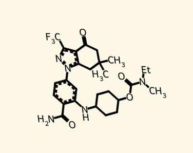 [CH2]CN(C)C(=O)OC1CCC(Nc2cc(-n3nc(C(F)(F)F)c4c3CC(C)(C)CC4=O)ccc2C(N)=O)CC1